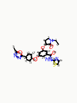 CCN1CC[C@@H](Oc2cc(Oc3ccc(-c4nnc(C)o4)cc3)cc(C(=O)Nc3nccs3)c2)C1=O